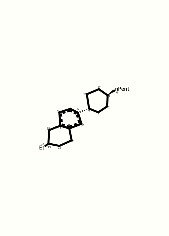 CCCCC[C@H]1CC[C@H](c2ccc3c(c2)CCC(CC)C3)CC1